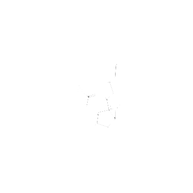 CCCCCC12OC1CC[C@@H]2CC(=O)O